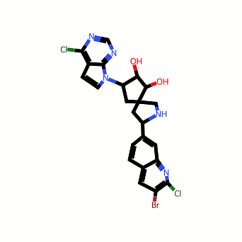 OC1C(n2ccc3c(Cl)ncnc32)CC2(CNC(c3ccc4cc(Br)c(Cl)nc4c3)C2)C1O